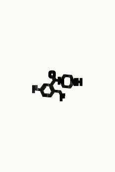 O=C(c1cc(F)ccc1CF)N1CCNCC1